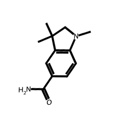 CN1CC(C)(C)c2cc(C(N)=O)ccc21